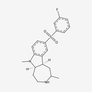 CC1C[C@@H]2c3cc(S(=O)(=O)c4cccc(F)c4)ccc3N(C)[C@@H]2CCN1